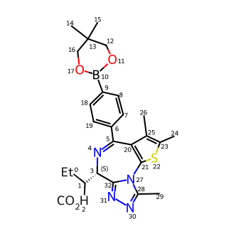 CCC(C(=O)O)[C@@H]1N=C(c2ccc(B3OCC(C)(C)CO3)cc2)c2c(sc(C)c2C)-n2c(C)nnc21